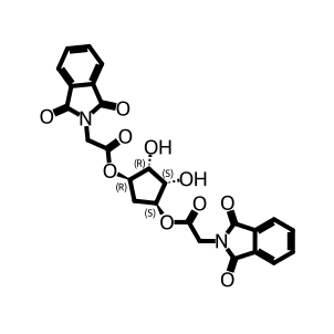 O=C(CN1C(=O)c2ccccc2C1=O)O[C@H]1C[C@@H](OC(=O)CN2C(=O)c3ccccc3C2=O)[C@H](O)[C@@H]1O